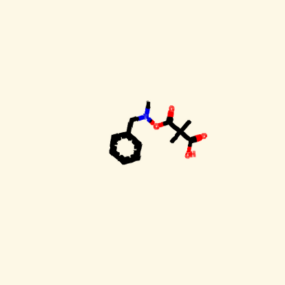 CN(Cc1ccccc1)OC(=O)C(C)(C)C(=O)O